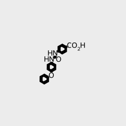 O=C(Nc1ccc(Oc2ccccc2)cc1)Nc1ccc(C(=O)O)cc1